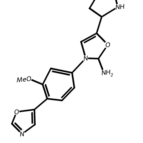 COc1cc(N2C=C(C3CCCN3)OC2N)ccc1-c1cnco1